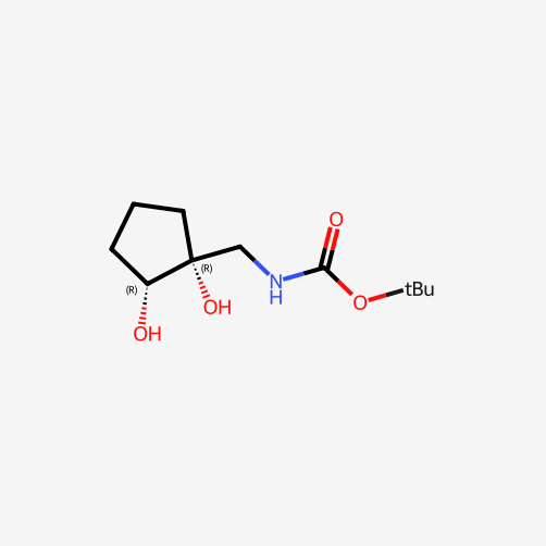 CC(C)(C)OC(=O)NC[C@]1(O)CCC[C@H]1O